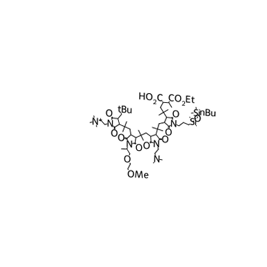 CCCC[Si](C)(C)O[Si](C)(C)CCCN1C(=O)C(CC(C)(C)C2C(=O)N(CCN(C)C)C(=O)C2CC(C)(C)C2C(=O)N(C(C)COCCOC)C(=O)C2CC(C)(C)C2C(=O)N(CC[N+](C)(C)C)C(=O)C2CC(C)(C)C)C(C(C)(C)CC(C(=O)O)C(C)C(=O)OCC)C1=O